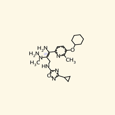 Cc1nc(/C(N)=C(\CNc2nc(C3CC3)no2)N(C)N)ccc1OC1CCCCC1